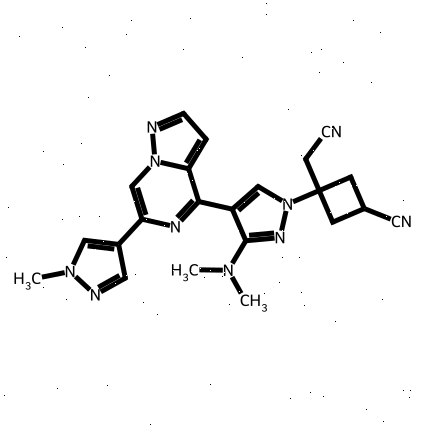 CN(C)c1nn(C2(CC#N)CC(C#N)C2)cc1-c1nc(-c2cnn(C)c2)cn2nccc12